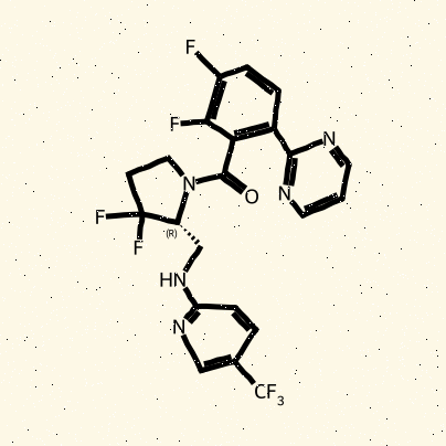 O=C(c1c(-c2ncccn2)ccc(F)c1F)N1CCC(F)(F)[C@H]1CNc1ccc(C(F)(F)F)cn1